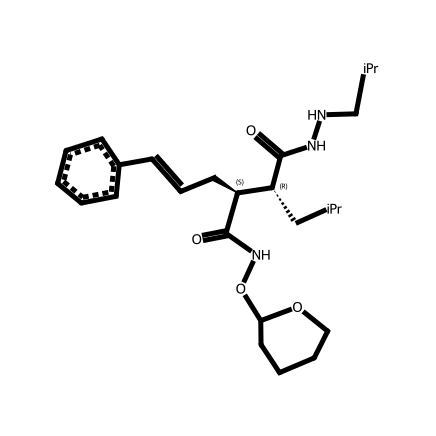 CC(C)CNNC(=O)[C@H](CC(C)C)[C@H](CC=Cc1ccccc1)C(=O)NOC1CCCCO1